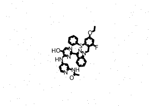 CCOc1cc(F)c(Cn2nc(-c3ncc(O)c(Nc4ccnc(NC(C)=O)c4)n3)c3ccccc32)c(Sc2ccccc2)c1